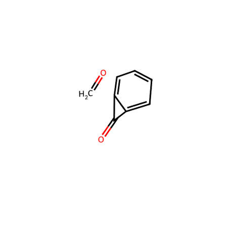 C=O.O=c1c2ccccc12